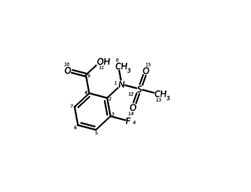 CN(c1c(F)cccc1C(=O)O)S(C)(=O)=O